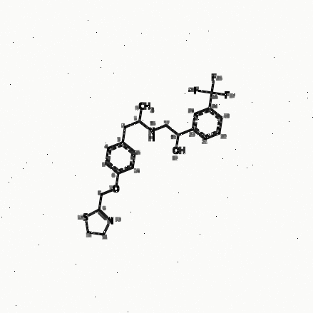 CC(Cc1ccc(OCC2=NCCS2)cc1)NCC(O)c1cccc(C(F)(F)F)c1